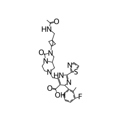 CC(=O)NCC12CC(N3CC4CN(CC5=C(C(=O)O)C(c6cccc(F)c6C)N=C(c6nccs6)N5)CCN4C3=O)(C1)C2